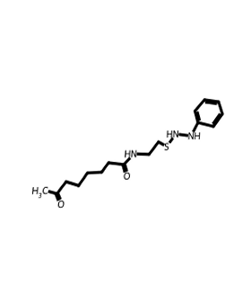 CC(=O)CCCCCC(=O)NCCSNNc1ccccc1